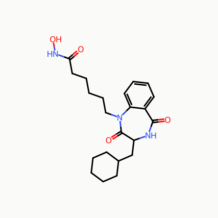 O=C(CCCCCN1C(=O)C(CC2CCCCC2)NC(=O)c2ccccc21)NO